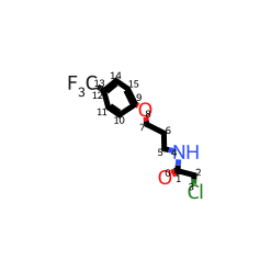 O=C(CCl)NCCCOc1ccc(C(F)(F)F)cc1